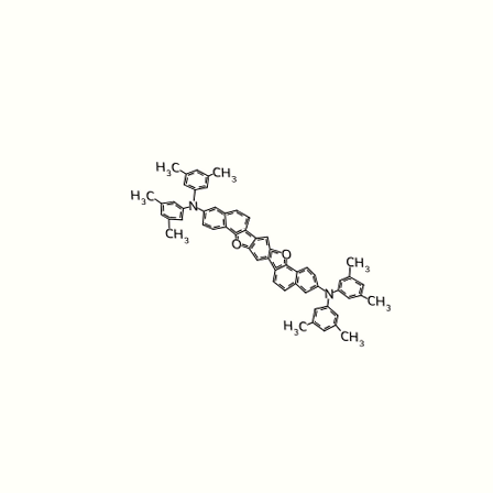 Cc1cc(C)cc(N(c2cc(C)cc(C)c2)c2ccc3c(ccc4c5cc6oc7c8ccc(N(c9cc(C)cc(C)c9)c9cc(C)cc(C)c9)cc8ccc7c6cc5oc34)c2)c1